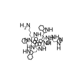 C[C@H](NC(=O)[C@@H](Cc1c[nH]c2ccccc12)NC(=O)C(N)Cc1cnc[nH]1)C(=O)N[C@@H](Cc1c[nH]c2ccccc12)C(=O)N[C@H](Cc1ccccc1)C(=O)N[C@@H](CCCCN)C(N)=O